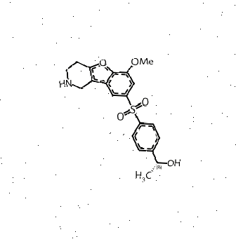 COc1cc(S(=O)(=O)c2ccc([C@@H](C)O)cc2)cc2c3c(oc12)CCNC3